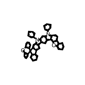 c1ccc(-n2c3cc4c(cc3c3cc5c6c7oc8ccccc8c7ccc6n(-c6ccccc6)c5cc32)-c2ccccc2C42c3ccccc3Oc3ccccc32)cc1